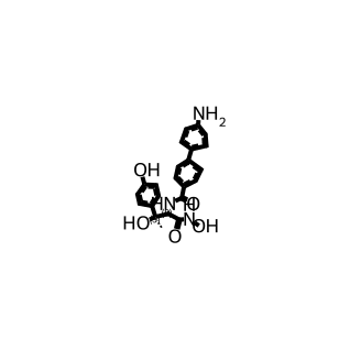 C[C@](O)(c1ccc(O)cc1)[C@H](NC(=O)c1ccc(-c2ccc(N)cc2)cc1)C(=O)NO